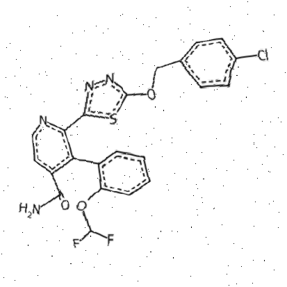 NC(=O)c1ccnc(-c2nnc(OCc3ccc(Cl)cc3)s2)c1-c1ccccc1OC(F)F